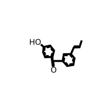 C/C=C/c1cccc(C(=O)c2ccc(O)cc2)c1